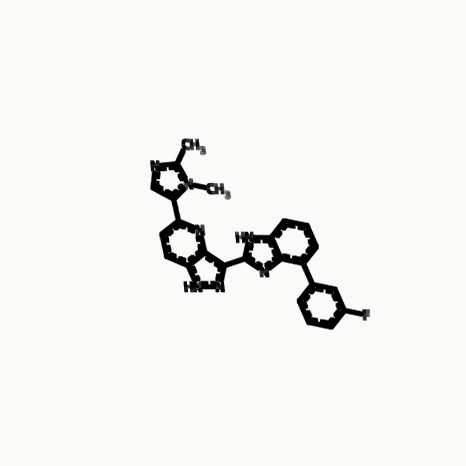 Cc1ncc(-c2ccc3[nH]nc(-c4nc5c(-c6cccc(F)c6)cccc5[nH]4)c3n2)n1C